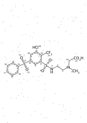 CN(CCNS(=O)(=O)c1cc(S(=O)(=O)c2ccccc2)ccc1C(F)(F)F)CC(=O)O.Cl